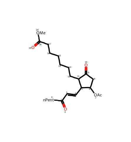 CCCCCC(=O)/C=C/C1C(OC(C)=O)CC(=O)C1CCCCCCC(=O)OC